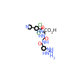 N=C(N)Nc1cccc(C(=O)NCC(=O)NC[C@H](NC(=O)c2c(Cl)cc(-c3ccncc3)cc2Cl)C(=O)O)c1